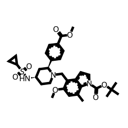 COC(=O)c1ccc([C@@H]2C[C@@H](NS(=O)(=O)C3CC3)CCN2Cc2c(OC)cc(C)c3c2ccn3C(=O)OC(C)(C)C)cc1